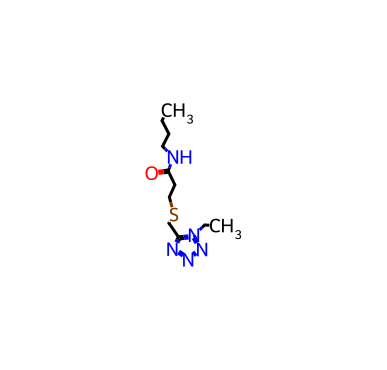 CCCCNC(=O)CCSCc1nnnn1CC